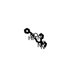 O=C(NCCc1nc2ncccn2c1-c1ccccn1)OCc1ccccc1